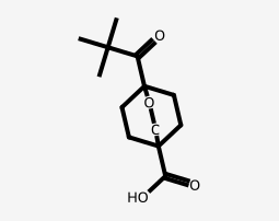 CC(C)(C)C(=O)C12CCC(C(=O)O)(CC1)CO2